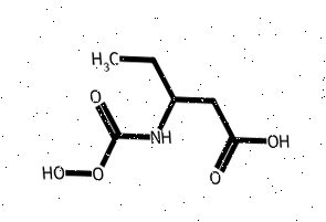 CCC(CC(=O)O)NC(=O)OO